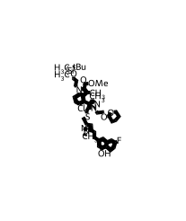 COC(=O)c1c(C)c2c(-c3c(C)nn(CCOC4CCCCO4)c3CSCc3cc(CCc4cc(O)c5ccc(F)cc5c4)n(C)n3)c(Cl)ccc2n1CCCO[Si](C)(C)C(C)(C)C